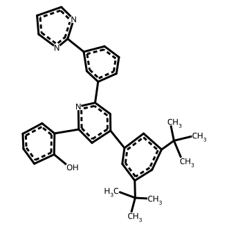 CC(C)(C)c1cc(-c2cc(-c3cccc(-c4ncccn4)c3)nc(-c3ccccc3O)c2)cc(C(C)(C)C)c1